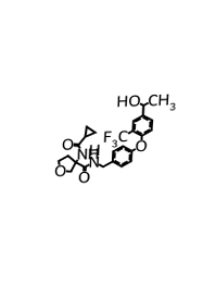 CC(O)c1ccc(Oc2ccc(CNC(=O)C3(NC(=O)C4CC4)CCOC3)cc2)c(C(F)(F)F)c1